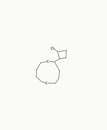 ClC1CCC1C1CCCCCCCCC1